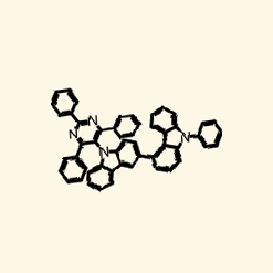 c1ccc(-c2nc(-c3ccccc3)c(-n3c4ccccc4c4cc(-c5cccc6c5c5ccccc5n6-c5ccccc5)ccc43)c(-c3ccccc3)n2)cc1